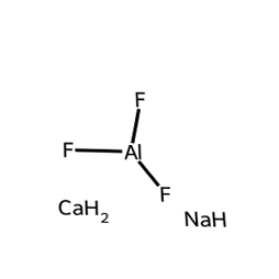 [CaH2].[F][Al]([F])[F].[NaH]